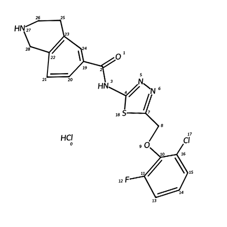 Cl.O=C(Nc1nnc(COc2c(F)cccc2Cl)s1)c1ccc2c(c1)CCNC2